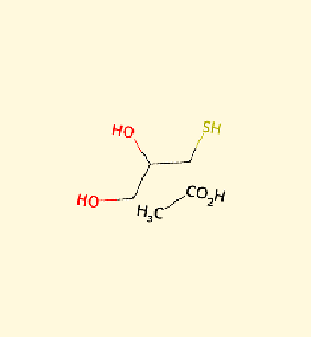 CC(=O)O.OCC(O)CS